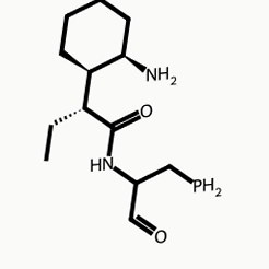 CC[C@@H](C(=O)NC(C=O)CP)[C@H]1CCCC[C@H]1N